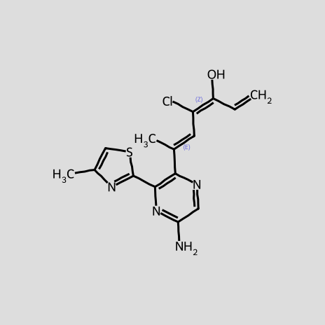 C=C/C(O)=C(Cl)\C=C(/C)c1ncc(N)nc1-c1nc(C)cs1